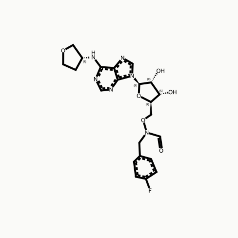 O=CN(Cc1ccc(F)cc1)OC[C@H]1O[C@@H](n2cnc3c(N[C@@H]4CCOC4)ncnc32)[C@H](O)[C@@H]1O